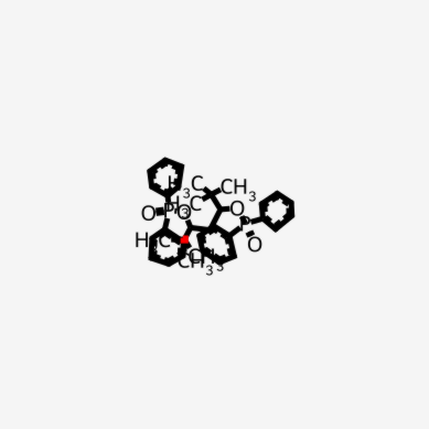 CC(C)(C)C(CC(OP(=O)(c1ccccc1)c1ccccc1)C(C)(C)C)OP(=O)(c1ccccc1)c1ccccc1